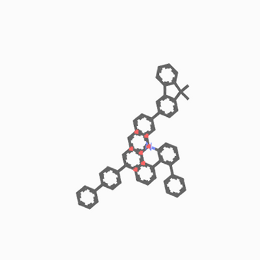 CC1(C)c2ccccc2-c2cc(-c3cccc(N(c4ccc(-c5ccc(-c6ccccc6)cc5)cc4)c4cccc(-c5ccccc5)c4-c4ccccc4-c4ccccc4)c3)ccc21